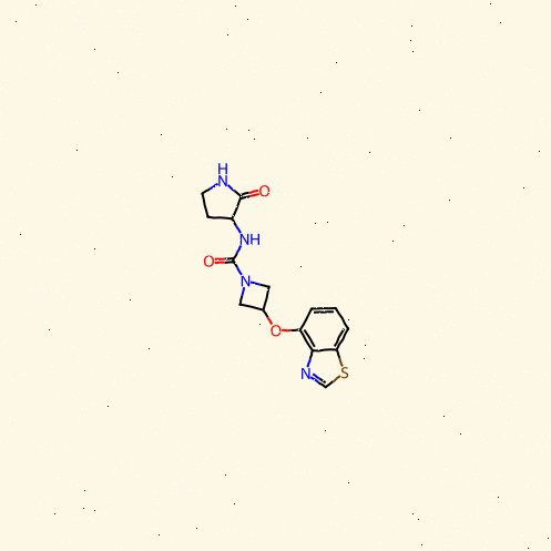 O=C1NCCC1NC(=O)N1CC(Oc2cccc3scnc23)C1